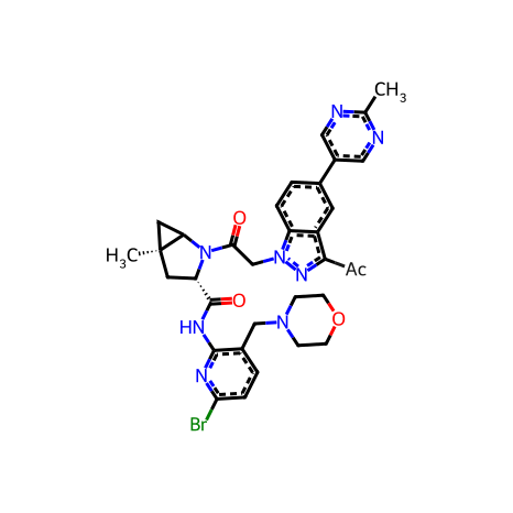 CC(=O)c1nn(CC(=O)N2C3C[C@]3(C)C[C@H]2C(=O)Nc2nc(Br)ccc2CN2CCOCC2)c2ccc(-c3cnc(C)nc3)cc12